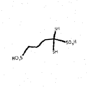 O=S(=O)(O)CCCC(S)(S)S(=O)(=O)O